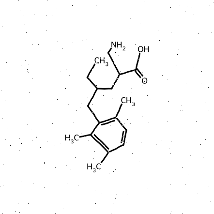 CCC(Cc1c(C)ccc(C)c1C)CC(CN)C(=O)O